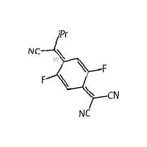 CC(C)/C(C#N)=c1\cc(F)c(=C(C#N)C#N)cc1F